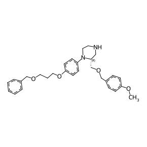 COc1ccc(COC[C@H]2CNCCN2c2ccc(OCCCOCc3ccccc3)cc2)cc1